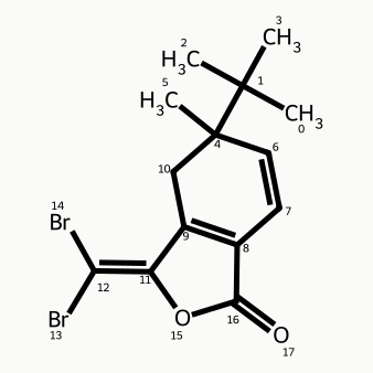 CC(C)(C)C1(C)C=CC2=C(C1)C(=C(Br)Br)OC2=O